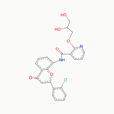 O=C(Nc1cccc2c(=O)cc(-c3ccccc3Cl)oc12)c1cccnc1OCC(O)CO